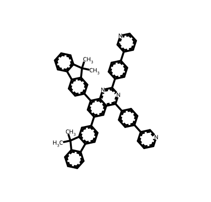 CC1(C)c2ccccc2-c2ccc(-c3cc(-c4ccc5c(c4)C(C)(C)c4ccccc4-5)c4nc(-c5ccc(-c6cccnc6)cc5)nc(-c5ccc(-c6cccnc6)cc5)c4c3)cc21